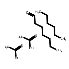 CCCCCC.CCCCCCC=O.NC(O)=S.NC(O)=S